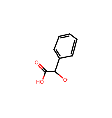 [O]C(C(=O)O)c1ccccc1